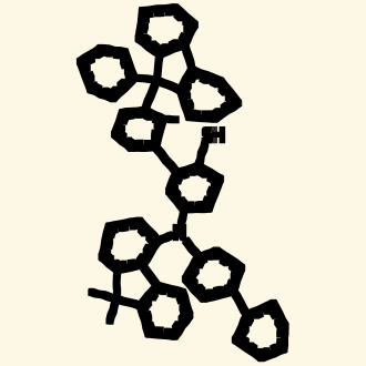 Cc1c(-c2cc(N(c3ccc(-c4ccccc4)cc3)c3cccc4c3-c3ccccc3C4(C)C)ccc2S)cccc1C1(c2ccccc2)c2ccccc2-c2ccccc21